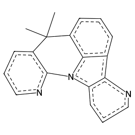 CC1(C)c2cccnc2-n2c3cccnc3c3cccc1c32